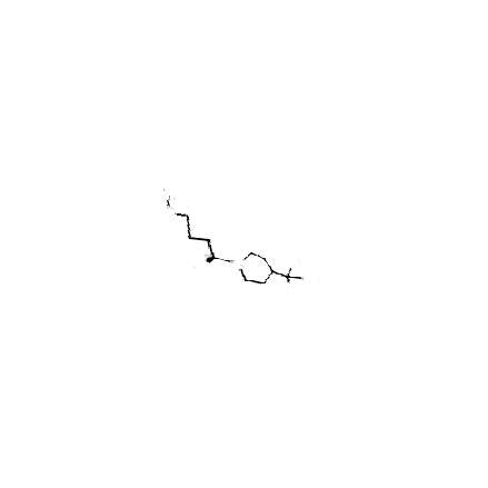 CC(C)(C)C1CCN(C(=O)CCCON)CC1